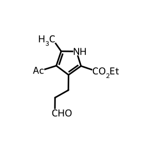 CCOC(=O)c1[nH]c(C)c(C(C)=O)c1CCC=O